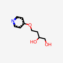 OCC(O)CCOc1ccncc1